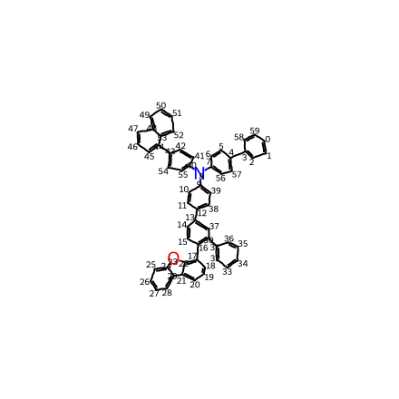 c1ccc(-c2ccc(N(c3ccc(-c4ccc(-c5cccc6c5oc5ccccc56)c(-c5ccccc5)c4)cc3)c3ccc(-c4cccc5ccccc45)cc3)cc2)cc1